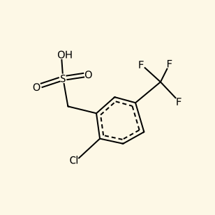 O=S(=O)(O)Cc1cc(C(F)(F)F)ccc1Cl